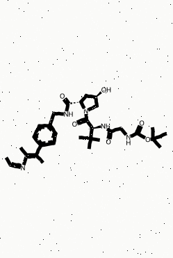 C/C=N\C(C)=C(/C)c1ccc(CNC(=O)[C@@H]2C[C@@H](O)CN2C(=O)[C@@H](NC(=O)CNC(=O)OC(C)(C)C)C(C)(C)C)cc1